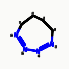 C1CCN=NN=NC1